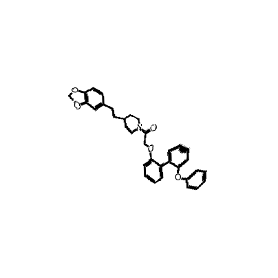 O=C(COc1ccccc1-c1ccccc1Oc1ccccc1)N1CCC(CCc2ccc3c(c2)OCO3)CC1